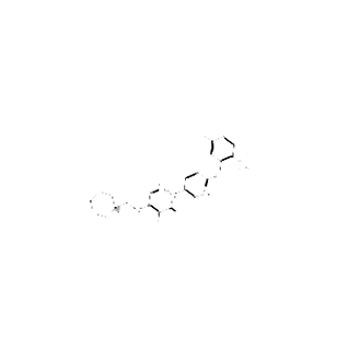 CCc1ccc(S(C)(=O)=O)c(Oc2ccc(-n3ncc(NC[C@@]4(F)CCCOC4)c(Cl)c3=O)cn2)c1